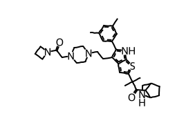 Cc1cc(C)cc(-c2[nH]c3sc(C(C)(C)C(=O)C4C5CCC4NC5)cc3c2CCN2CCN(CC(=O)N3CCC3)CC2)c1